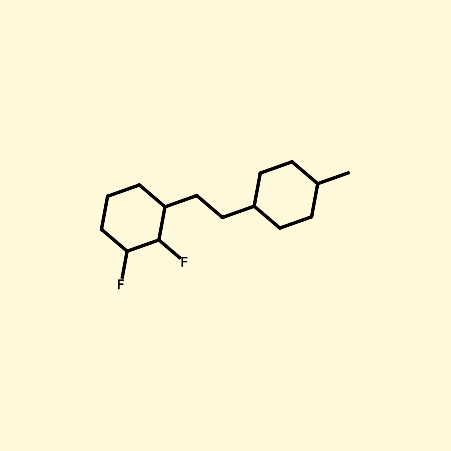 CC1CCC(CCC2CCCC(F)C2F)CC1